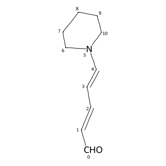 O=CC=CC=CN1CCCCC1